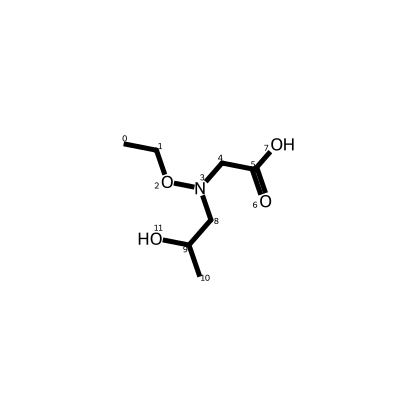 CCON(CC(=O)O)CC(C)O